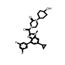 Cn1c(C(=O)N2CCN(C3CCC(O)CC3)C(=O)C2)nc2c(-c3cc(F)cc(F)c3)cc(C3CC3)cc21